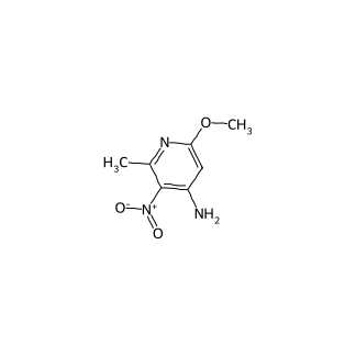 COc1cc(N)c([N+](=O)[O-])c(C)n1